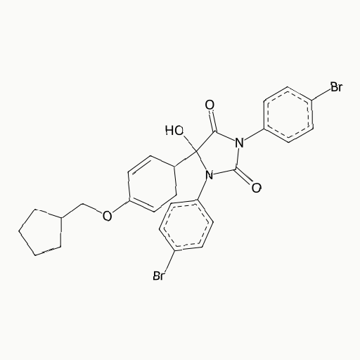 O=C1N(c2ccc(Br)cc2)C(=O)C(O)(C2C=CC(OCC3CCCC3)=CC2)N1c1ccc(Br)cc1